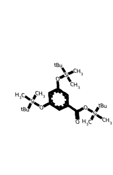 CC(C)(C)[Si](C)(C)OC(=O)c1cc(O[Si](C)(C)C(C)(C)C)cc(O[Si](C)(C)C(C)(C)C)c1